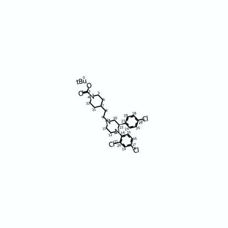 CC(C)(C)OC(=O)N1CCC(CCN2CCN(c3ccc(Cl)cc3Cl)[C@H](c3ccc(Cl)cc3)C2)CC1